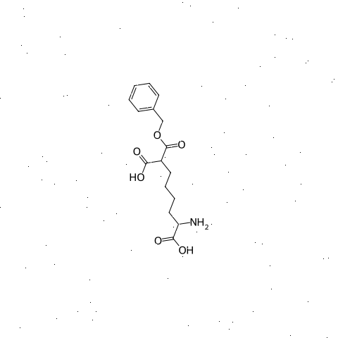 NC(CCCCC(C(=O)O)C(=O)OCc1ccccc1)C(=O)O